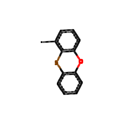 [CH2]c1cccc2c1Sc1ccccc1O2